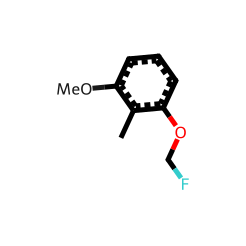 COc1cccc(OCF)c1C